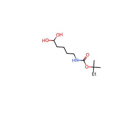 CCC(C)(C)OC(=O)NCCCCC(O)O